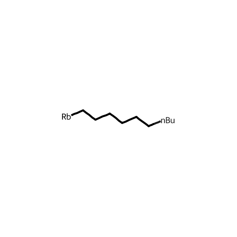 CCCCCCCCC[CH2][Rb]